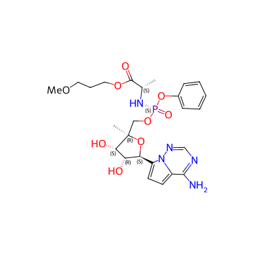 COCCCOC(=O)[C@H](C)N[P@](=O)(OC[C@@]1(C)O[C@@H](c2ccc3c(N)ncnn23)[C@H](O)[C@@H]1O)Oc1ccccc1